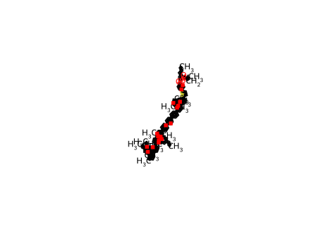 C=C(CC)C(=O)OC(CCCCCC)Oc1ccc(-c2ccc(-c3ccc4c(c3)C3(c5cc(-c6ccc(-c7ccc(-c8ccc(-c9ccc%10c(c9)C9(c%11cc(-c%12ccc%13c(c%12)C%12(c%14cc(C)ccc%14-%13)C%13(C)CC(CCC)CC%12(C)C(CCC)C%13)ccc%11-%10)C%10(C)CC(CCC)CC9(C)CC(CCC)C%10)cc8)cc7)cc6)ccc5-4)C(C)(C)CCC3(C)C)s2)cc1